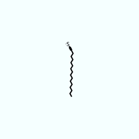 CCCCCCCCCCCCCCCC#C[S]